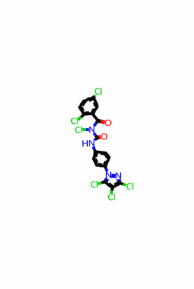 O=C(Nc1ccc(-n2nc(Cl)c(Cl)c2Cl)cc1)N(Cl)C(=O)c1cc(Cl)ccc1Cl